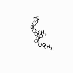 COc1cccc(C(=O)COC(=O)C(C)Oc2ccc(Oc3ccc(C(F)(F)F)cc3)cc2)c1